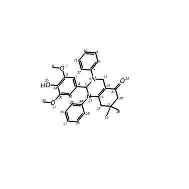 COc1cc(C2N(c3ccccc3)CC3=C(CC(C)(C)CC3=O)N2c2ccccc2)cc(OC)c1O